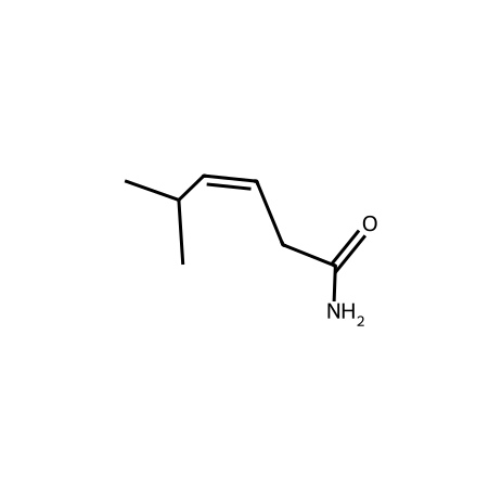 CC(C)/C=C\CC(N)=O